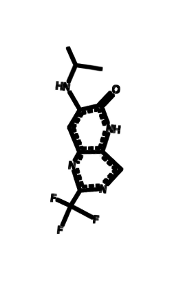 CC(C)Nc1cc2nc(C(F)(F)F)ncc2[nH]c1=O